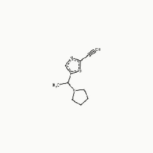 C#Cc1ncc(C(C)N2CCCC2)s1